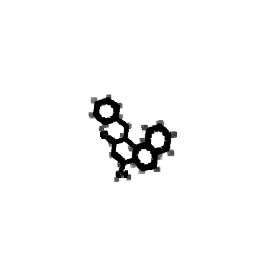 CC1=CC(=O)C(Cc2ccccc2)c2c1ccc1ccccc21